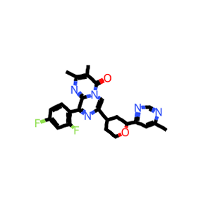 Cc1cc(C2CC(c3cn4c(=O)c(C)c(C)nc4c(-c4ccc(F)cc4F)n3)CCO2)ncn1